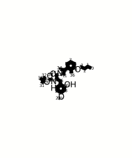 CCCCOc1cccc(C2CN(C(=O)C(Cc3ccc(OC)cc3O)NC(=O)OC(C)(C)C)C2)c1C